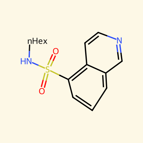 CCCCCCNS(=O)(=O)c1cccc2cnccc12